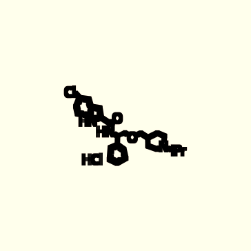 CC(C)N1CCC(COC[C@H](NC(=O)c2cc3cc(Cl)ccc3[nH]2)c2ccccc2)CC1.Cl